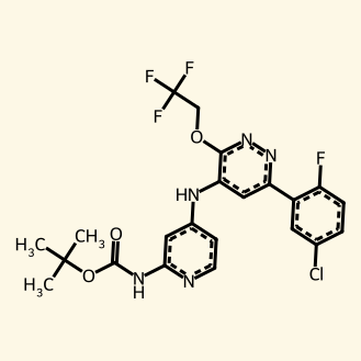 CC(C)(C)OC(=O)Nc1cc(Nc2cc(-c3cc(Cl)ccc3F)nnc2OCC(F)(F)F)ccn1